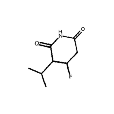 CC(C)C1C(=O)NC(=O)CC1F